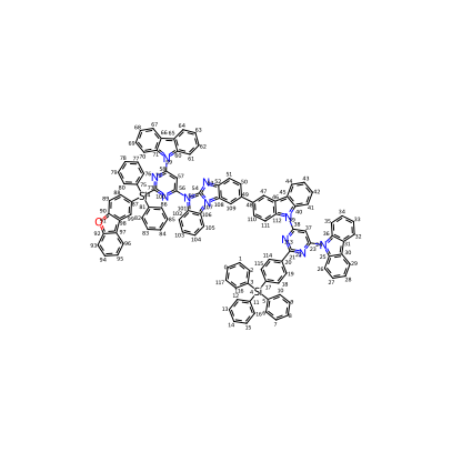 c1ccc([Si](c2ccccc2)(c2ccccc2)c2ccc(-c3nc(-n4c5ccccc5c5ccccc54)cc(-n4c5ccccc5c5cc(-c6ccc7nc8n(-c9cc(-n%10c%11ccccc%11c%11ccccc%11%10)nc([Si](c%10ccccc%10)(c%10ccccc%10)c%10ccc%11oc%12ccccc%12c%11c%10)n9)c9ccccc9n8c7c6)ccc54)n3)cc2)cc1